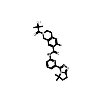 CC(C)(O)C(=O)N1CCc2cc(F)c(C(=O)Nc3cccc(-c4nnc5n4C(C)(C)CC5)n3)cc2C1